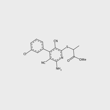 COC(=O)C(C)Sc1nc(N)c(C#N)c(-c2cccc(Cl)c2)c1C#N